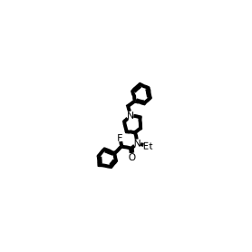 CCN(C(=O)C(F)c1ccccc1)C1CCN(Cc2ccccc2)CC1